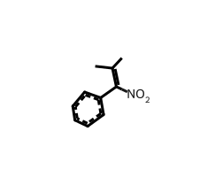 CC(C)=C(c1ccccc1)[N+](=O)[O-]